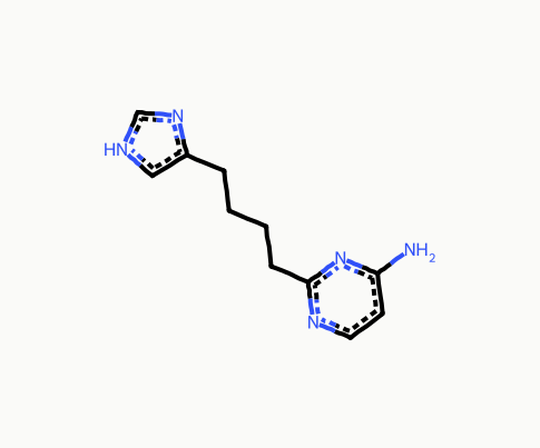 Nc1ccnc(CCCCc2c[nH]cn2)n1